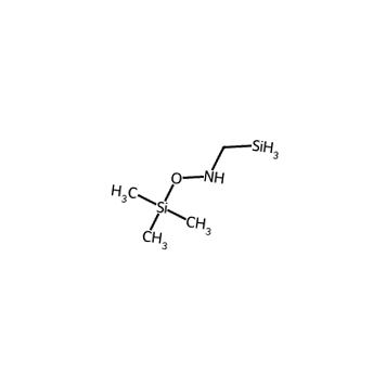 C[Si](C)(C)ONC[SiH3]